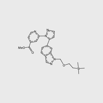 COC(=O)c1ccnc(-n2nccc2-c2ccc3cnn(COCC[Si](C)(C)C)c3c2)c1